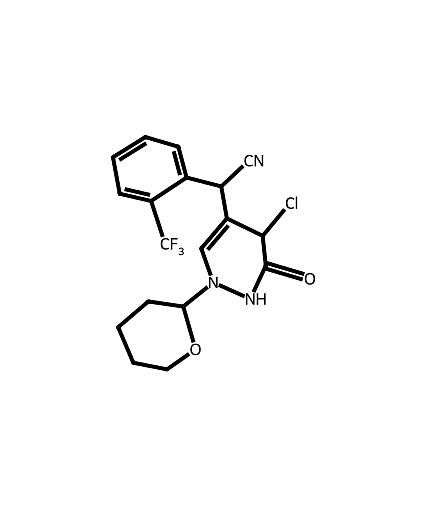 N#CC(C1=CN(C2CCCCO2)NC(=O)C1Cl)c1ccccc1C(F)(F)F